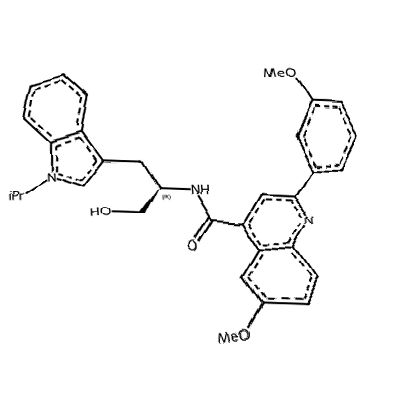 COc1cccc(-c2cc(C(=O)N[C@@H](CO)Cc3cn(C(C)C)c4ccccc34)c3cc(OC)ccc3n2)c1